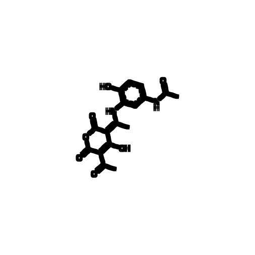 CC(=O)Nc1ccc(O)c(NC(C)=C2C(=O)OC(=O)C(C(C)=O)=C2O)c1